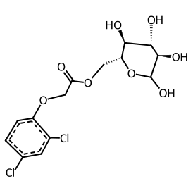 O=C(COc1ccc(Cl)cc1Cl)OC[C@H]1OC(O)[C@H](O)[C@@H](O)[C@@H]1O